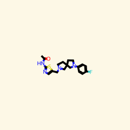 CC(=O)Nc1ncc(CN2CCC3(CCN(c4ccc(F)cc4)C3)C2)s1